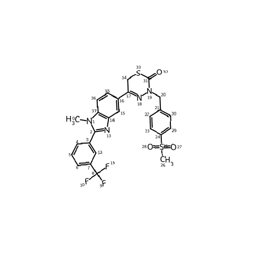 Cn1c(-c2cccc(C(F)(F)F)c2)nc2cc(C3=NN(Cc4ccc(S(C)(=O)=O)cc4)C(=O)SC3)ccc21